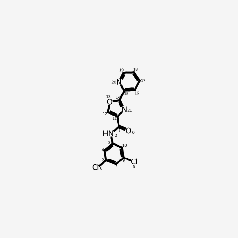 O=C(Nc1cc(Cl)cc(Cl)c1)c1coc(-c2ccccn2)n1